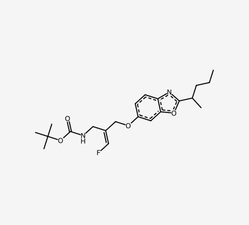 CCCC(C)c1nc2ccc(OCC(=CF)CNC(=O)OC(C)(C)C)cc2o1